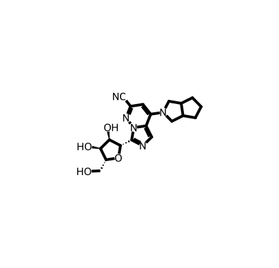 N#Cc1cc(N2CC3CCCC3C2)c2cnc([C@@H]3O[C@H](CO)[C@@H](O)[C@H]3O)n2n1